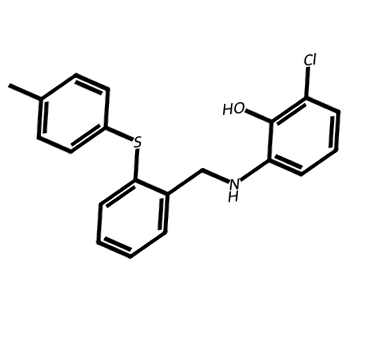 Cc1ccc(Sc2ccccc2CNc2cccc(Cl)c2O)cc1